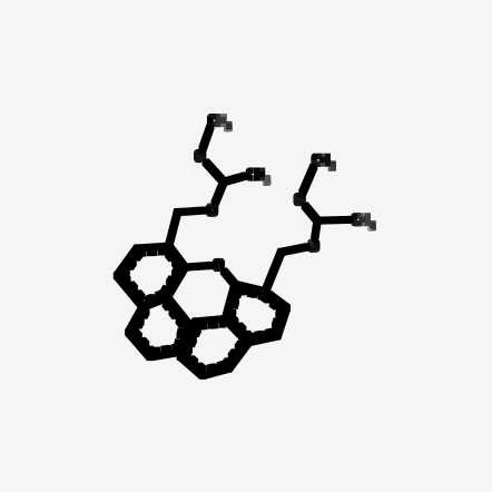 COC(C)OCc1ccc2ccccc2c1Oc1c(COC(C)OC)ccc2ccccc12